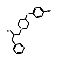 CCCC(Cc1cccnc1)CN1CCC(Oc2ccc(Br)cc2)CC1